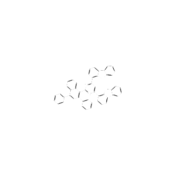 c1ccc(-c2cc(-c3ccccc3)c3ccccc3c2-c2nc(-c3cccc4c3oc3ccccc34)cc(-c3cccc4c3oc3ccccc34)n2)cc1